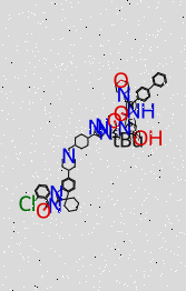 CC(C)(C)[C@@H](C(=O)N1C[C@H](O)C[C@H]1C(=O)N[C@@H](CN1CCOCC1)c1ccc(-c2ccccc2)cc1)n1cc(C2CCC(CN3CCC(c4ccc5c(c4)-n4c(nc(=O)c6c(Cl)cccc64)C54CCCCC4)CC3)CC2)nn1